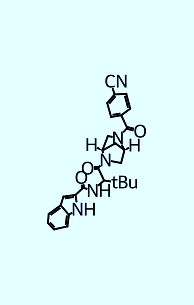 CC(C)(C)C(NC(=O)c1cc2ccccc2[nH]1)C(=O)N1C[C@@H]2C[C@H]1CN2C(=O)c1ccc(C#N)cc1